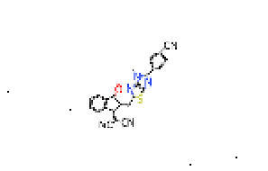 Cn1c(-c2ccc(C#N)cc2)nc2sc(/C=C3\C(=O)c4ccccc4C3=C(C#N)C#N)nc21